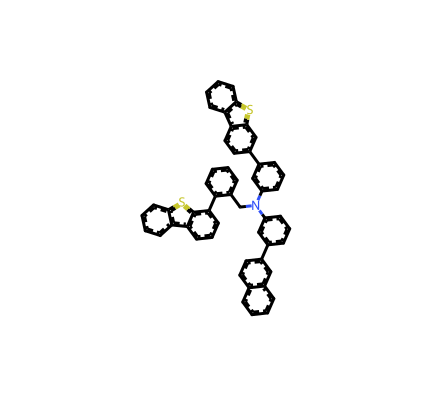 c1cc(-c2ccc3ccccc3c2)cc(N(Cc2ccccc2-c2cccc3c2sc2ccccc23)c2cccc(-c3ccc4c(c3)sc3ccccc34)c2)c1